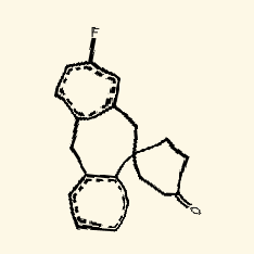 O=C1CCC2(C1)Cc1cc(F)ccc1Cc1ccccc12